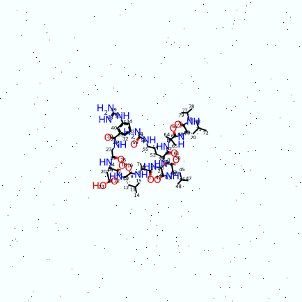 CC[C@H](NC(=O)[C@H](C)NC(=O)[C@H](CC(C)C)NC(=O)[C@H](CC(=O)O)NC(=O)CNC(=O)c1cccc(NC(=N)N)c1)C(=O)N[C@@H](CC(C)C)C(=O)N[C@@H](CCCNC(N)=O)C(=O)NC(C)(C)C(=O)N[C@@H](CC(C)C)C(=O)NC(C)C